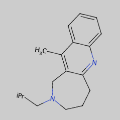 Cc1c2c(nc3ccccc13)CCCN(CC(C)C)C2